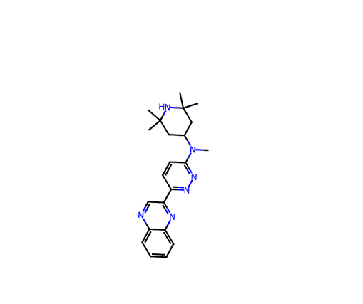 CN(c1ccc(-c2cnc3ccccc3n2)nn1)C1CC(C)(C)NC(C)(C)C1